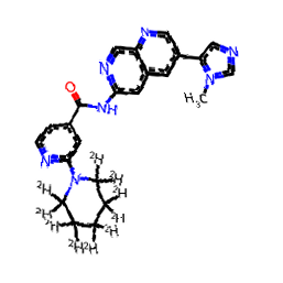 [2H]C1([2H])N(c2cc(C(=O)Nc3cc4cc(-c5cncn5C)cnc4cn3)ccn2)C([2H])([2H])C([2H])([2H])C([2H])([2H])C1([2H])[2H]